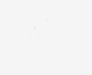 COc1ccc(Nc2nccc(Oc3cccc4c3C(O)CC4)n2)cc1